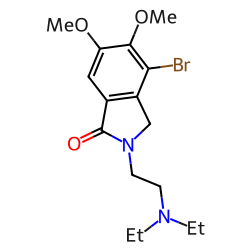 CCN(CC)CCN1Cc2c(cc(OC)c(OC)c2Br)C1=O